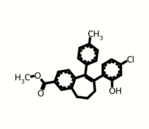 COC(=O)c1ccc2c(c1)CCCC(c1ccc(Cl)cc1O)=C2c1ccc(C)cc1